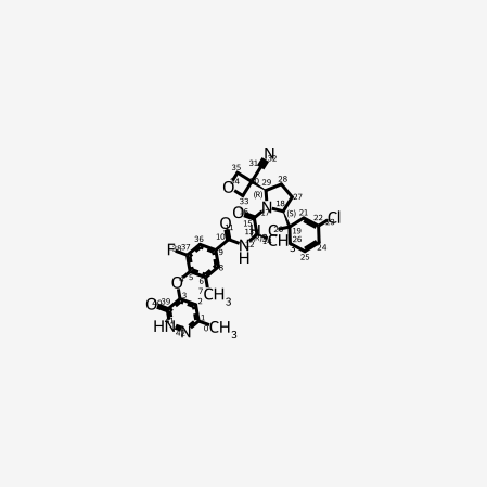 Cc1cc(Oc2c(C)cc(C(=O)N[C@H](C)C(=O)N3[C@H](C4(C)C=C(Cl)C=CC4)CC[C@@H]3C3(C#N)COC3)cc2F)c(=O)[nH]n1